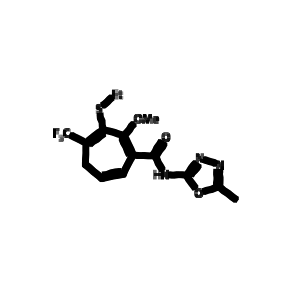 CCSC1=C(C(F)(F)F)CC=CC(C(=O)Nc2nnc(C)o2)=C1OC